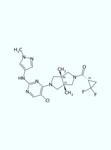 Cn1cc(Nc2ncc(Cl)c(N3C[C@]4(C)CN(C(=O)[C@@H]5CC5(F)F)C[C@]4(C)C3)n2)cn1